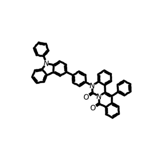 O=c1c2ccccc2c(-c2ccccc2)c2c3ccccc3n(-c3ccc(-c4ccc5c(c4)c4ccccc4n5-c4ccccc4)cc3)c(=O)n12